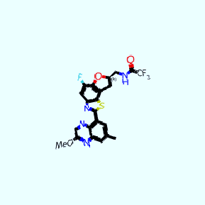 COc1cnc2c(-c3nc4cc(F)c5c(c4s3)C[C@H](CNC(=O)C(F)(F)F)O5)cc(C)cc2n1